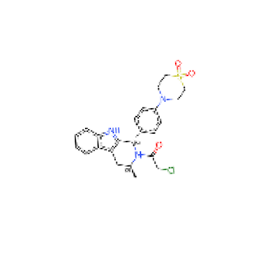 C[C@H]1Cc2c([nH]c3ccccc23)[C@H](c2ccc(N3CCS(=O)(=O)CC3)cc2)N1C(=O)CCl